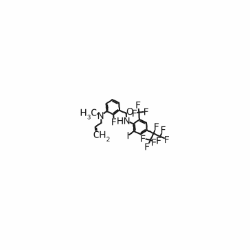 C=CCN(C)c1cccc(C(=O)Nc2c(I)cc(C(F)(C(F)(F)F)C(F)(F)F)cc2C(F)(F)F)c1F